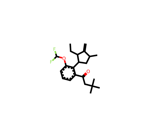 C=C1C(C)CC(c2c(OC(F)F)cccc2C(=O)CC(C)(C)C)C1CC